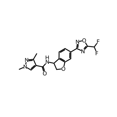 Cc1nn(C)cc1C(=O)NC1COc2cc(-c3noc(C(F)F)n3)ccc21